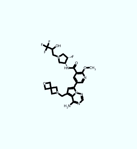 COc1ncc(-c2cc(CN3CC4(COC4)C3)c3c(N)ncnn23)cc1C(=O)N[C@@H]1CN(CC(O)C(F)(F)F)C[C@@H]1F